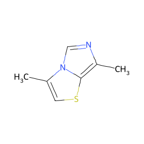 Cc1ncn2c(C)csc12